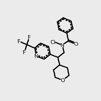 O=C(c1ccccc1)N(Cl)CC(c1ccc(C(F)(F)F)nc1)C1CCOCC1